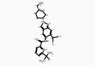 CC(C)(F)c1cccc(C(=O)Nc2cc3cn([C@H]4CC[C@H](CO)CC4)nc3cc2C(F)F)n1